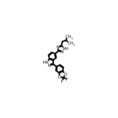 CC(C)Cc1nc(-c2ccc3[nH]nc(-c4ccc5c(c4)OC(F)(F)O5)c3c2)n[nH]1